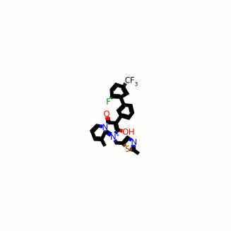 Cc1ncc(C[n+]2c(O)c(-c3cccc(-c4cc(C(F)(F)F)ccc4F)c3)c(=O)n3cccc(C)c32)s1